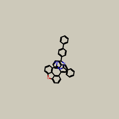 c1ccc(C2=NC(c3ccc(-c4ccccc4)cc3)NC(c3cccc4oc5cccc(-c6cccc7ccccc67)c5c34)=N2)cc1